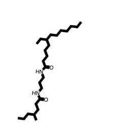 CCCCCCCC(CC)CCCCC(=O)NCCCNC(=O)CCC(C)CCC